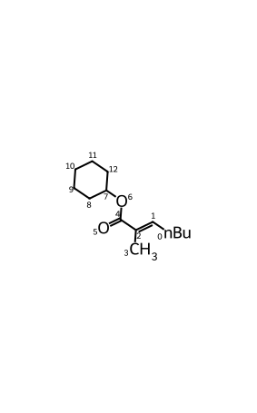 CCCCC=C(C)C(=O)OC1CCCCC1